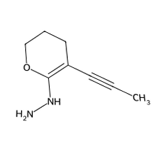 CC#CC1=C(NN)OCCC1